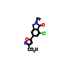 CC(C)N1Cc2cc(-c3cc(C(=O)O)no3)cc(Cl)c2C1=O